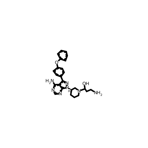 NCCC(O)N1CCC[C@@H](n2nc(-c3ccc(Oc4ccccc4)cc3)c3c(N)ncnc32)C1